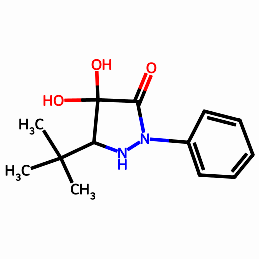 CC(C)(C)C1NN(c2ccccc2)C(=O)C1(O)O